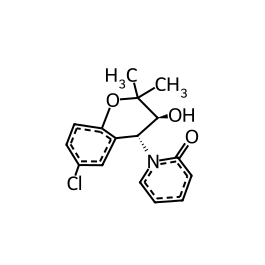 CC1(C)Oc2ccc(Cl)cc2[C@@H](n2ccccc2=O)[C@@H]1O